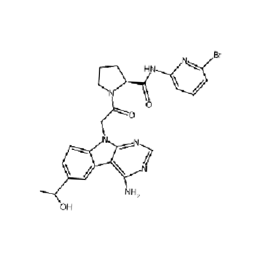 CC(O)c1ccc2c(c1)c1c(N)ncnc1n2CC(=O)N1CCC[C@H]1C(=O)Nc1cccc(Br)n1